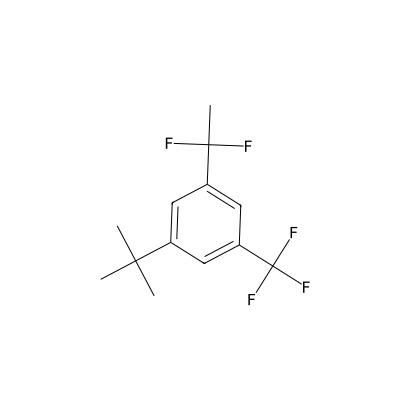 CC(C)(C)c1cc(C(C)(F)F)cc(C(F)(F)F)c1